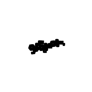 CCC(CNc1cc(Cl)c(S(=O)(=O)NCc2ccc(S(N)(=O)=O)cc2)cc1C(=O)O)c1ccccc1